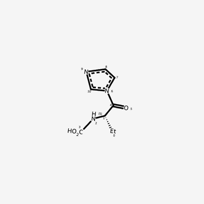 CC[C@H](NC(=O)O)C(=O)n1ccnc1